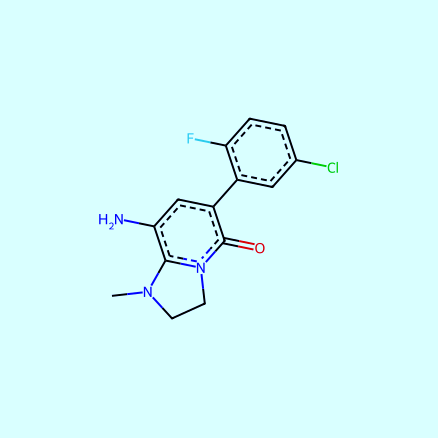 CN1CCn2c1c(N)cc(-c1cc(Cl)ccc1F)c2=O